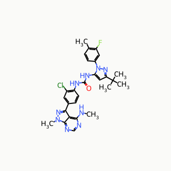 CNc1ncnc2c1c(-c1ccc(NC(=O)Nc3cc(C(C)(C)C)nn3-c3ccc(C)c(F)c3)c(Cl)c1)nn2C